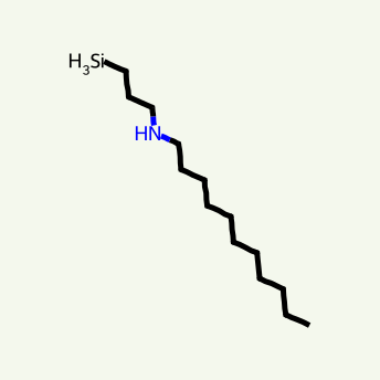 CCCCCCCCCCCNCCC[SiH3]